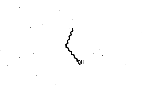 CBCCCCCCCC/C=C\CCCCCCCC